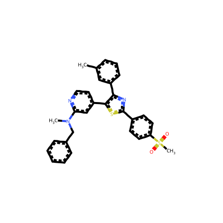 Cc1cccc(-c2nc(-c3ccc(S(C)(=O)=O)cc3)sc2-c2ccnc(N(C)Cc3ccccc3)c2)c1